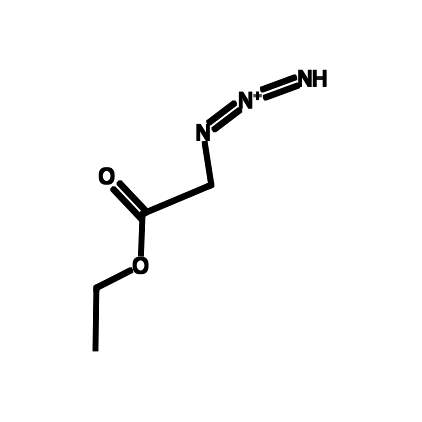 CCOC(=O)CN=[N+]=N